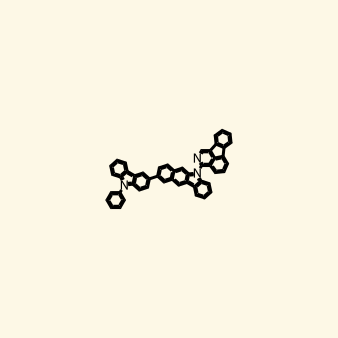 c1ccc(-n2c3ccccc3c3cc(-c4ccc5cc6c(cc5c4)c4ccccc4n6-c4ncc5c6c(cccc46)-c4ccccc4-5)ccc32)cc1